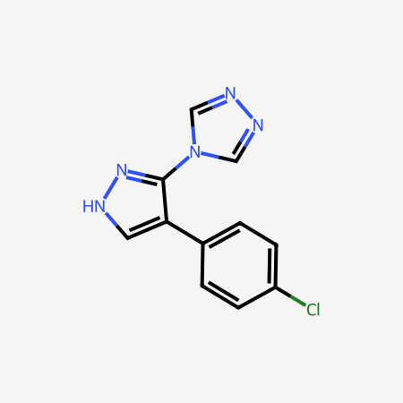 Clc1ccc(-c2c[nH]nc2-n2cnnc2)cc1